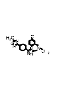 CCN1Cc2cc(Cl)ccc2-n2c(nnc2C2CCC(c3noc(C)n3)CC2)C1